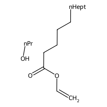 C=COC(=O)CCCCCCCCCCC.CCCO